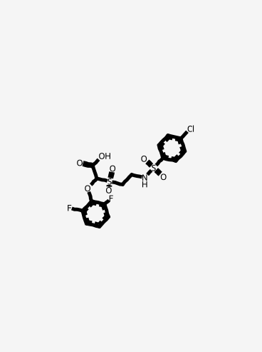 O=C(O)C(Oc1c(F)cccc1F)S(=O)(=O)CCNS(=O)(=O)c1ccc(Cl)cc1